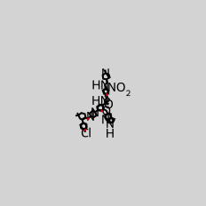 CN1CCC(CNc2ccc(SNC(=O)c3ccc(N4CCN(CC5=C(c6ccc(Cl)cc6)CC(C)(C)CC5)CC4)cc3Oc3cnc4[nH]ccc4c3)cc2[N+](=O)[O-])CC1